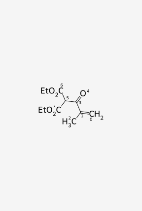 C=C(C)C(=O)C(C(=O)OCC)C(=O)OCC